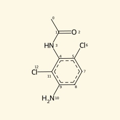 CC(=O)Nc1c(Cl)ccc(N)c1Cl